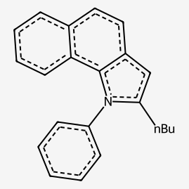 CCCCc1cc2ccc3ccccc3c2n1-c1ccccc1